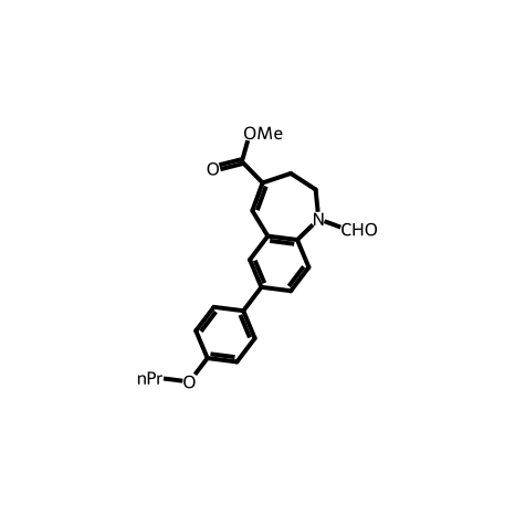 CCCOc1ccc(-c2ccc3c(c2)C=C(C(=O)OC)CCN3C=O)cc1